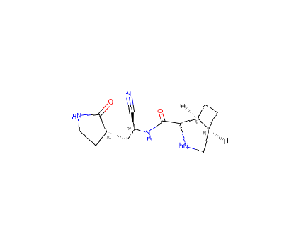 N#C[C@H](C[C@@H]1CCNC1=O)NC(=O)C1NC[C@@H]2CC[C@H]12